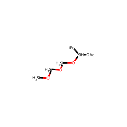 CC(=O)O[SiH](O[SiH2]O[SiH2]O[SiH3])C(C)C